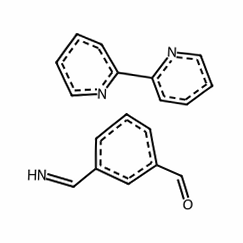 N=Cc1cccc(C=O)c1.c1ccc(-c2ccccn2)nc1